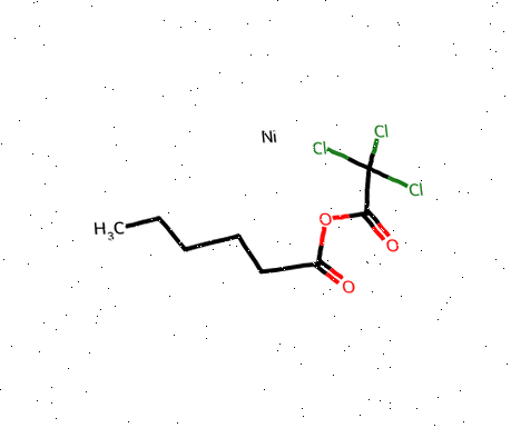 CCCCCC(=O)OC(=O)C(Cl)(Cl)Cl.[Ni]